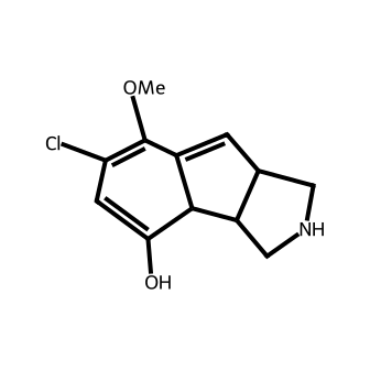 COC1=C(Cl)C=C(O)C2C1=CC1CNCC12